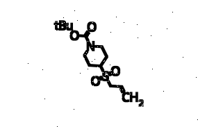 C=CCS(=O)(=O)C1CCN(C(=O)OC(C)(C)C)CC1